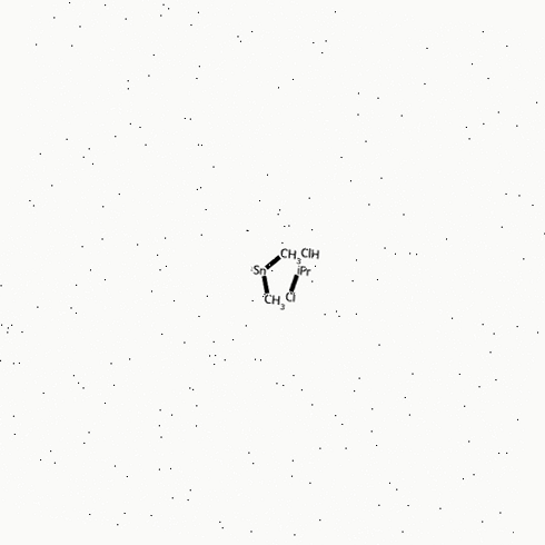 CC(C)Cl.Cl.[CH3][Sn][CH3]